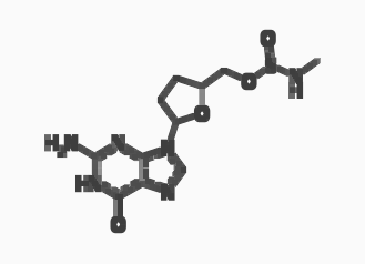 CNS(=O)OCC1CCC(n2cnc3c(=O)[nH]c(N)nc32)O1